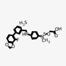 CN(SOCC(=O)O)c1ccc(NCc2cccc(-c3ccc4c(c3F)OCO4)c2)cc1.S